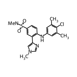 CNS(=O)(=O)c1ccc(Nc2cc(C)c(Cl)c(C)c2)c(-c2cn(C)cn2)c1